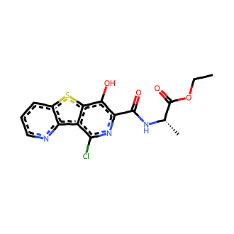 CCOC(=O)[C@H](C)NC(=O)c1nc(Cl)c2c(sc3cccnc32)c1O